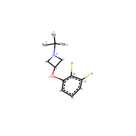 [2H]C([2H])([2H])N1CC(Oc2cccc(F)c2F)C1